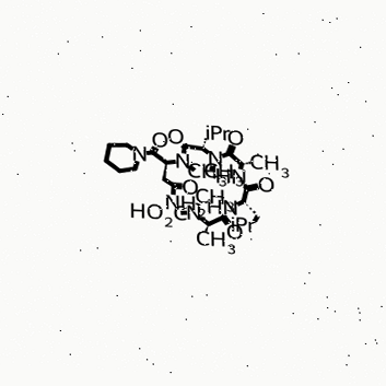 CC(C)C[C@H](NC(=O)[C@H](C)N(C)C(=O)O)C(=O)N[C@@H](C)C(=O)N(C)[C@H](C(=O)N(C)[C@@H](CC(N)=O)C(=O)N1CCCCC1)C(C)C